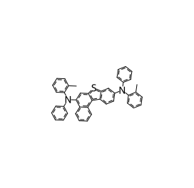 Cc1ccccc1N(c1ccccc1)c1ccc2c(c1)sc1cc(N(c3ccccc3)c3ccccc3C)c3ccccc3c12